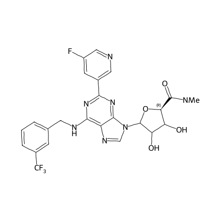 CNC(=O)[C@@H]1OC(n2cnc3c(NCc4cccc(C(F)(F)F)c4)nc(-c4cncc(F)c4)nc32)C(O)C1O